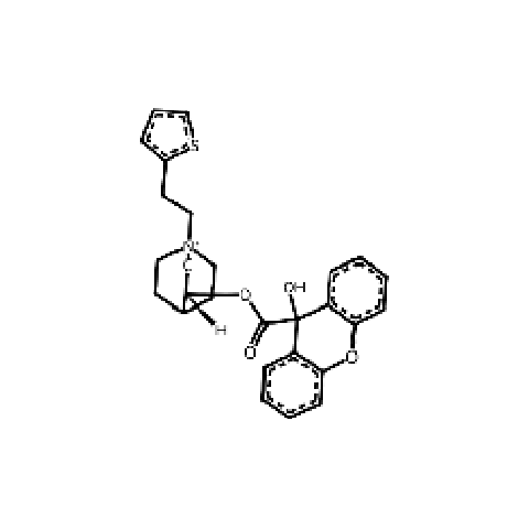 O=C(O[C@H]1C[N+]2(CCc3cccs3)CCC1CC2)C1(O)c2ccccc2Oc2ccccc21